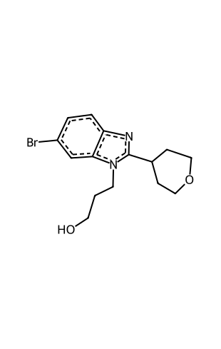 OCCCn1c(C2CCOCC2)nc2ccc(Br)cc21